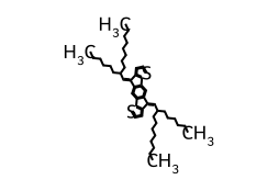 CCCCCCCCC(C=C1c2cc3c(cc2-c2sccc21)C(=CC(CCCCCC)CCCCCCCC)c1ccsc1-3)CCCCCC